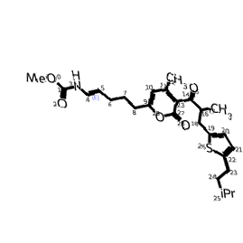 COC(=O)N/C=C/CCCc1cc(C)c(C(=O)C(C)Cc2ccc(CCC(C)C)s2)c(=O)o1